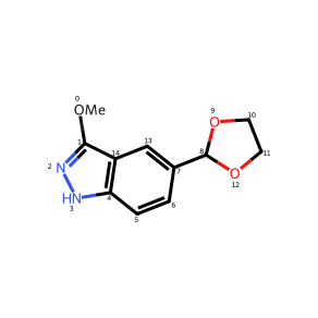 COc1n[nH]c2ccc(C3OCCO3)cc12